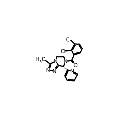 Cc1nnc2n1CCN(C(=O)c1cccc(Cl)c1Cl)[C@@H]2c1ccccn1